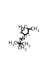 CC(C)CC(CCl)/N=N/C(C)(C)C